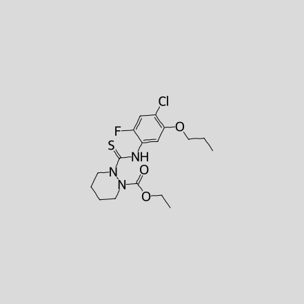 CCCOc1cc(NC(=S)N2CCCCN2C(=O)OCC)c(F)cc1Cl